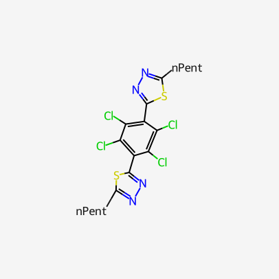 CCCCCc1nnc(-c2c(Cl)c(Cl)c(-c3nnc(CCCCC)s3)c(Cl)c2Cl)s1